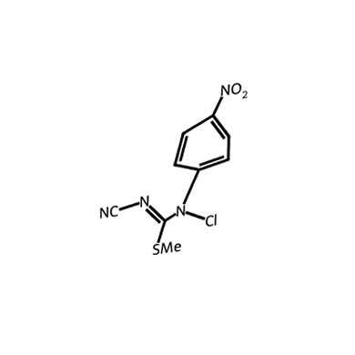 CSC(=NC#N)N(Cl)c1ccc([N+](=O)[O-])cc1